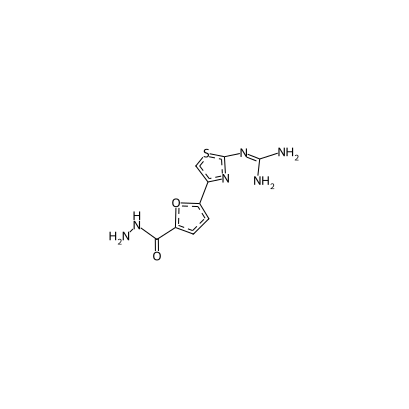 NNC(=O)c1ccc(-c2csc(N=C(N)N)n2)o1